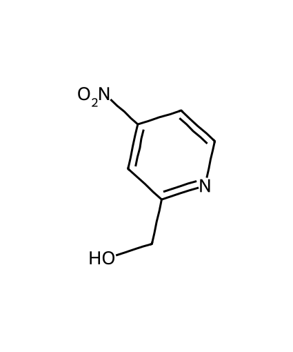 O=[N+]([O-])c1ccnc(CO)c1